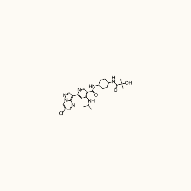 CC(C)Nc1cc(-c2cnn3cc(Cl)cnc23)ncc1C(=O)NC1CCC(NC(=O)C(C)(C)O)CC1